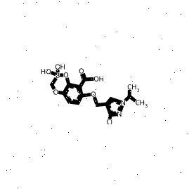 CC(C)n1cc(COc2ccc3c(c2C(=O)O)O[B-](O)(O)CO3)c(Cl)n1